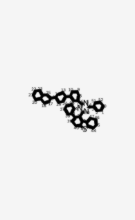 c1ccc(-c2nc(-c3cccc(-c4ccc(-c5ccc6ccccc6c5)cc4)c3)nc(-c3c(-c4ccccc4)ccc4sc5ccccc5c34)n2)cc1